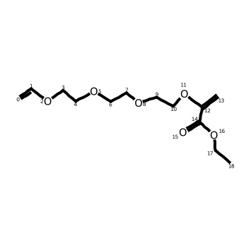 C=COCCOCCOCCOC(=C)C(=O)OCC